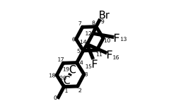 CC12CCC(C34CCC(Br)(CC3)C(F)C4(F)F)(CC1)CC2